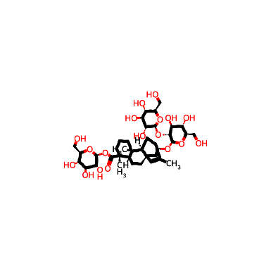 CC1=C[C@]23CC[C@@H]4[C@](C)(CCC[C@@]4(C)C(=O)O[C@@H]4O[C@H](CO)[C@@H](O)[C@H](O)[C@H]4O)[C@H]2CC[C@@]1(O[C@@H]1O[C@H](CO)[C@@H](O)[C@H](O)[C@H]1O[C@@H]1O[C@H](CO)[C@@H](O)[C@H](O)[C@H]1O)C3